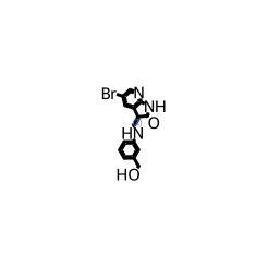 O=C1Nc2ncc(Br)cc2/C1=C/Nc1cccc(CO)c1